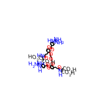 N=C(N)Nc1ccc(C(=O)Oc2ccc(CCC(=O)NC(CC(=O)O)C(=O)O)c(OCCOCCOc3cc(OC(=O)c4ccc(NC(=N)N)cc4)ccc3CCC(=O)N[C@H](CC(=O)O)C(=O)O)c2)cc1